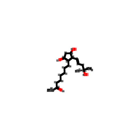 CCC[C@](C)(O)CC=CC1C(O)CC(=O)C1CCCCCCC(=O)OC